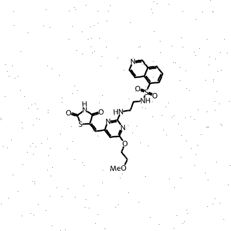 COCCOc1cc(C=C2SC(=O)NC2=O)nc(NCCNS(=O)(=O)c2cccc3cnccc23)n1